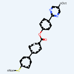 CCCCCCCCCSc1ccc(-c2ccc(C(=O)Oc3ccc(-c4ncc(CCCCCCCC)cn4)cc3)cc2)cc1